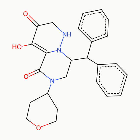 O=C1CNN2C(=C1O)C(=O)N(C1CCOCC1)CC2C(c1ccccc1)c1ccccc1